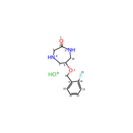 Cl.O=C1CNCC(OCc2ccccc2F)CN1